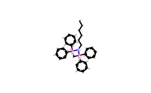 CCCCCCN1[PH](c2ccccc2)(c2ccccc2)C[PH]1(c1ccccc1)c1ccccc1